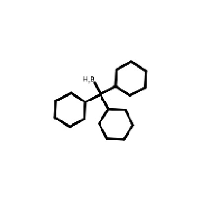 BC(C1CCCCC1)(C1CCCCC1)C1CCCCC1